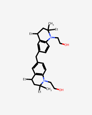 CCC1CC(C)(CC)N(CCO)c2ccc(Cc3ccc4c(c3)C(CC)CC(C)(CC)N4CCO)cc21